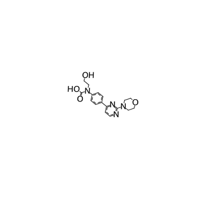 O=C(O)N(CCO)c1ccc(-c2ccnc(N3CCOCC3)n2)cc1